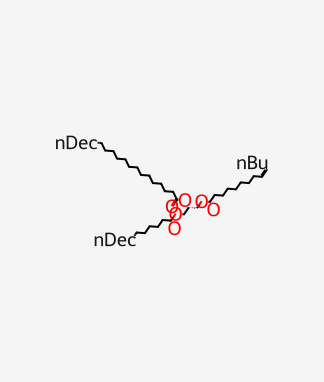 CCCC/C=C\CCCCCCCC(=O)OC[C@H](COC(=O)CCCCCCCCCCCCCCC)OC(=O)CCCCCCCCCCCCCCCCCCCCCCC